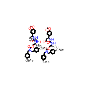 CCCC[C@@H](COC(=O)N(Cc1ccc(OC)cc1)Cc1ccc(OC)cc1)NC(=O)N[C@@H](CC(=O)O)c1ccc2c(c1)OCO2.CCCC[C@@H](COC(=O)N(Cc1ccc(OC)cc1)Cc1ccc(OC)cc1)NC(=O)N[C@@H](CCO)c1ccc2c(c1)OCO2